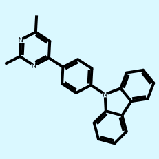 Cc1cc(-c2ccc(-n3c4ccccc4c4ccccc43)cc2)nc(C)n1